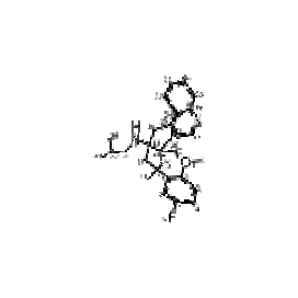 COc1ccc(F)cc1C(C)(C)CC(Cc1ccnc2ccccc12)(NCC(C)C)C(F)(F)F